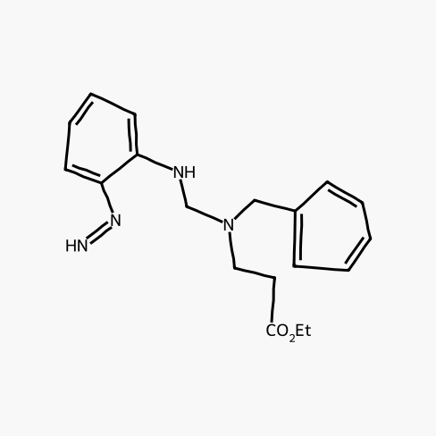 CCOC(=O)CCN(CNc1ccccc1N=N)Cc1ccccc1